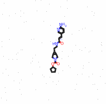 Nc1ccc(/C=C/C(=O)NCCC2C3CN(C(=O)OC4CCCC4)CC23)cn1